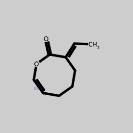 CC=C1CCC/C=C\OC1=O